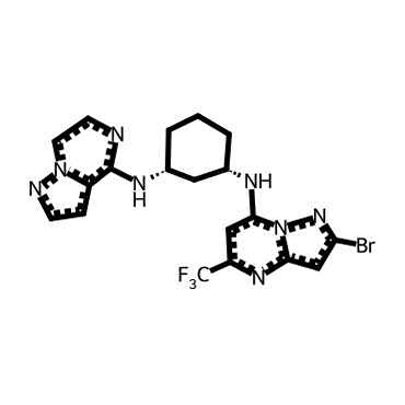 FC(F)(F)c1cc(N[C@H]2CCC[C@@H](Nc3nccn4nccc34)C2)n2nc(Br)cc2n1